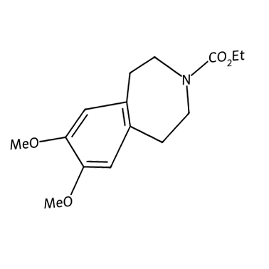 CCOC(=O)N1CCc2cc(OC)c(OC)cc2CC1